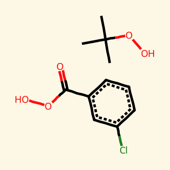 CC(C)(C)OO.O=C(OO)c1cccc(Cl)c1